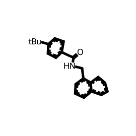 CC(C)(C)c1ccc(C(=O)NCc2cccc3ccccc23)cc1